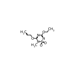 C=CCOC1=NC(OCC)=NS(=O)(=O)N1C